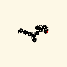 c1ccc(-c2cc(-c3ccc(-c4ccc(-c5cccc6sc7ccccc7c56)c5oc6ccccc6c45)cc3)nc(-c3ccc(-c4ccc(-c5cccnc5)cc4)cc3)n2)cc1